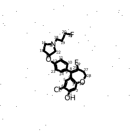 Oc1cc2c(cc1Cl)C(c1ccc(O[C@H]3CCN(CCCF)C3)cc1)=C(F)CCO2